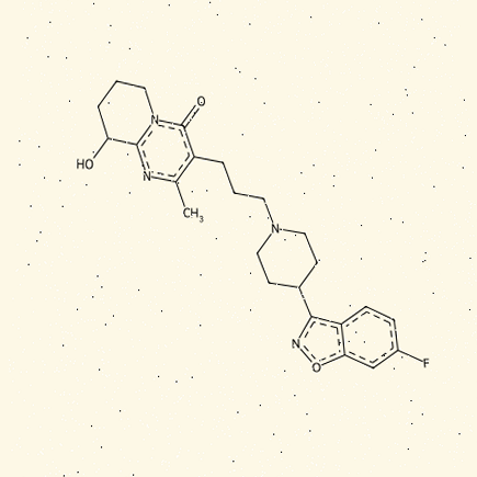 Cc1nc2n(c(=O)c1CCCN1CCC(c3noc4cc(F)ccc34)CC1)CCCC2O